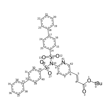 CC(C)(C)OC(=O)C=Cc1ccc(N(S(=O)(=O)c2ccc(-c3ccccc3)cc2)S(=O)(=O)c2ccc(-c3ccccc3)cc2)nc1